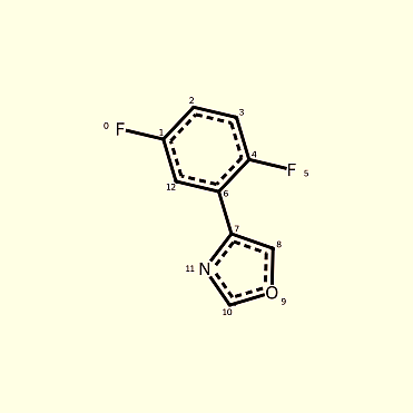 Fc1ccc(F)c(-c2co[c]n2)c1